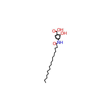 CCCCCCCCCCCCCCCCCC(=O)Nc1ccc(C(=O)O)c(O)c1